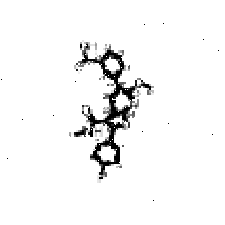 CNC(=O)c1c(-c2ccc(F)cc2)oc2nc(OC)c(-c3cccc(C(=O)O)c3)cc12